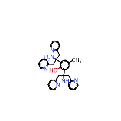 Cc1cc(C(N)(Cc2ccccn2)Cc2ccccn2)c(O)c(C(N)(Cc2ccccn2)Cc2ccccn2)c1